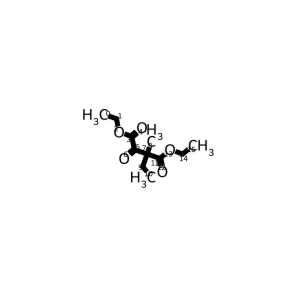 CCOC(=O)C(=O)C(C)(CC)C(=O)OCC